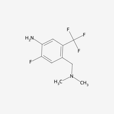 CN(C)Cc1cc(F)c(N)cc1C(F)(F)F